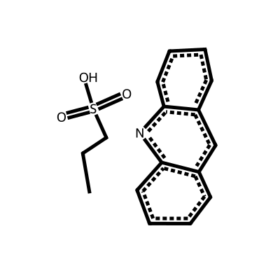 CCCS(=O)(=O)O.c1ccc2nc3ccccc3cc2c1